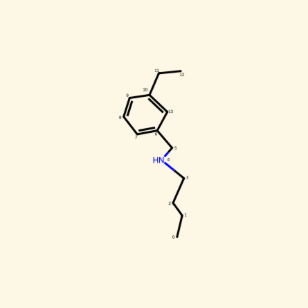 CC[CH]CNCc1cccc(CC)c1